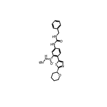 CC(C)(C)N[S+]([O-])c1cc(NC(=O)NCc2ccccc2)ccc1-c1cnc([C@@H]2CCCCO2)s1